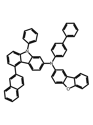 c1ccc(-c2ccc(N(c3ccc4oc5ccccc5c4c3)c3ccc4c5c(-c6ccc7ccccc7c6)cccc5n(-c5ccccc5)c4c3)cc2)cc1